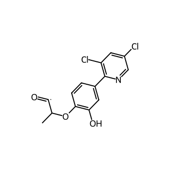 CC([C]=O)Oc1ccc(-c2ncc(Cl)cc2Cl)cc1O